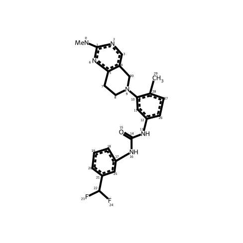 CNc1ncc2c(n1)CCN(c1cc(NC(=O)Nc3cccc(C(F)F)c3)ccc1C)C2